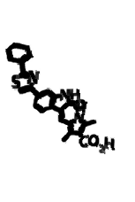 Cc1[nH]c(/C=C2\C(=O)Nc3cc(-c4csc(-c5ccccc5)n4)ccc32)c(C)c1C(=O)O